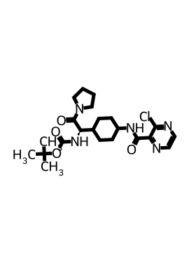 CC(C)(C)OC(=O)N[C@H](C(=O)N1CCCC1)C1CCC(NC(=O)c2nccnc2Cl)CC1